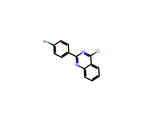 Clc1nc(-c2ccc(Br)cc2)nc2ccccc12